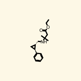 CCOC(=O)CC(C)(C)NC[C@H]1C[C@@H]1c1ccccc1